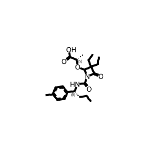 CCC[C@@H](NC(=O)N1C(=O)C(CC)(CC)C1O[C@@H](C)C(=O)O)c1ccc(C)cc1